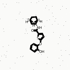 O=C(N[C@@H]1C[C@H]2CC[C@@H]1N2)c1ccc(Oc2ccccc2O)s1